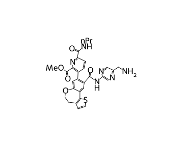 CCCNC(=O)c1ccc(-c2cc3c(cc2C(=O)Nc2cnc(CN)cn2)-c2sccc2CCO3)c(C(=O)OC)n1